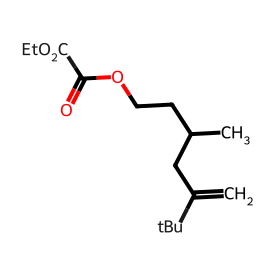 C=C(CC(C)CCOC(=O)C(=O)OCC)C(C)(C)C